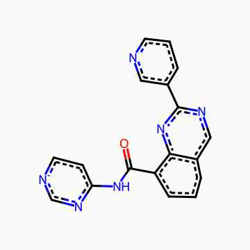 O=C(Nc1ccncn1)c1cccc2cnc(-c3cccnc3)nc12